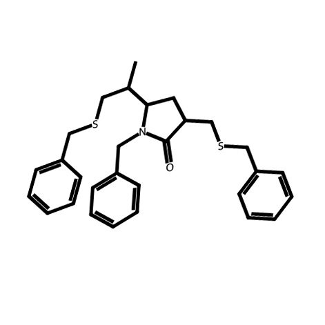 CC(CSCc1ccccc1)C1CC(CSCc2ccccc2)C(=O)N1Cc1ccccc1